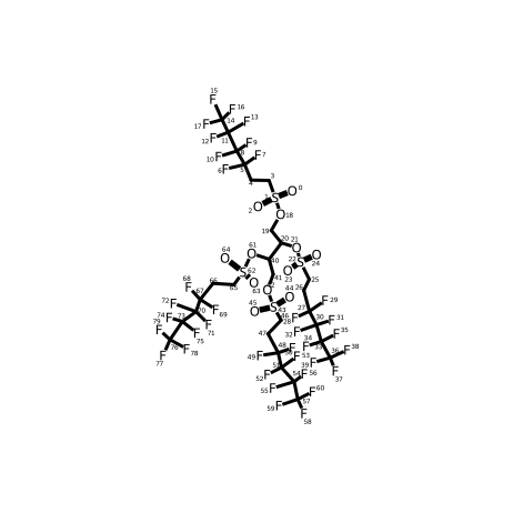 O=S(=O)(CCC(F)(F)C(F)(F)C(F)(F)C(F)(F)F)OCC(OS(=O)(=O)CCC(F)(F)C(F)(F)C(F)(F)C(F)(F)F)C(COS(=O)(=O)CCC(F)(F)C(F)(F)C(F)(F)C(F)(F)F)OS(=O)(=O)CCC(F)(F)C(F)(F)C(F)(F)C(F)(F)F